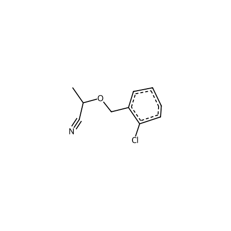 CC(C#N)OCc1ccccc1Cl